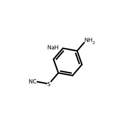 N#CSc1ccc(N)cc1.[NaH]